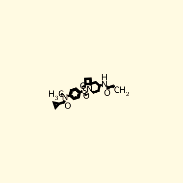 C=CC(=O)NC1CCN(S(=O)(=O)c2ccc(N(C)C(=O)C3CC3)cc2)C2(CCC2)C1